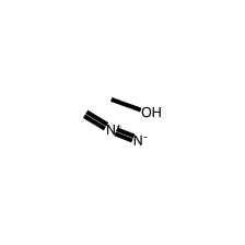 C=[N+]=[N-].CO